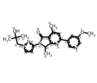 COc1cncc(-c2cc(C)c3c(n2)C(C)N(c2ccn(CC(C)(C)O)n2)C3=O)c1